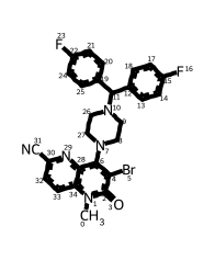 Cn1c(=O)c(Br)c(N2CCN(C(c3ccc(F)cc3)c3ccc(F)cc3)CC2)c2nc(C#N)ccc21